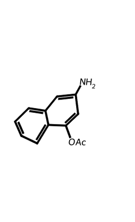 CC(=O)Oc1cc(N)cc2ccccc12